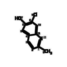 Cc1ccc2cc(O)c(Cl)cc2n1